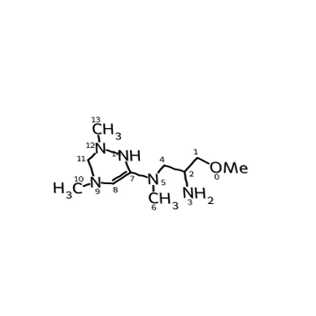 COCC(N)CN(C)C1=CN(C)CN(C)N1